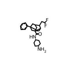 N[C@H]1CC[C@H](NC(=O)C23CC4CC(c5ccccc5)(CC(C2)C4CC(F)F)C3)CC1